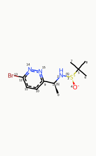 C[C@H](N[S@+]([O-])C(C)(C)C)c1ccc(Br)nn1